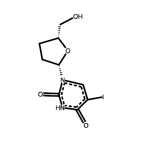 O=c1[nH]c(=O)n([C@@H]2CC[C@H](CO)O2)cc1I